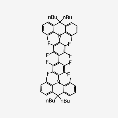 CCCCC1(CCCC)c2cccc(C)c2N(c2c(F)c(F)c(-c3c(F)c(F)c(N4c5c(C)cccc5C(CCCC)(CCCC)c5cccc(C)c54)c(F)c3F)c(F)c2F)c2c(C)cccc21